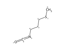 CSCCCN=C=O